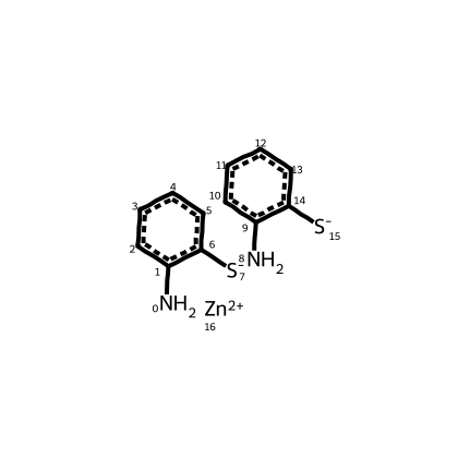 Nc1ccccc1[S-].Nc1ccccc1[S-].[Zn+2]